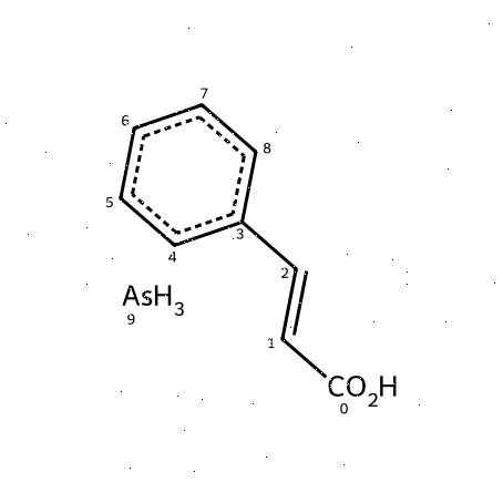 O=C(O)C=Cc1ccccc1.[AsH3]